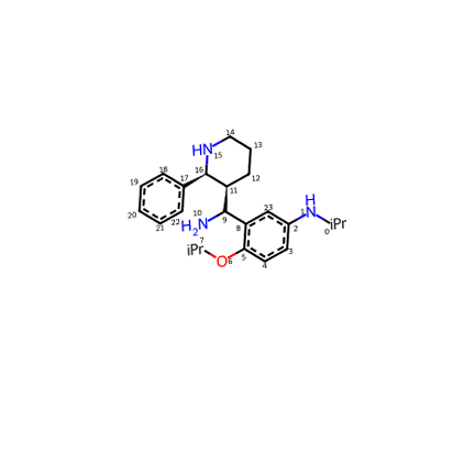 CC(C)Nc1ccc(OC(C)C)c(C(N)[C@@H]2CCCN[C@@H]2c2ccccc2)c1